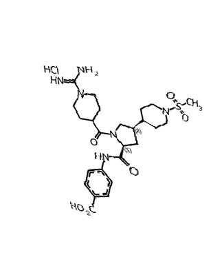 CS(=O)(=O)N1CCC([C@H]2C[C@@H](C(=O)Nc3ccc(C(=O)O)cc3)N(C(=O)C3CCN(C(=N)N)CC3)C2)CC1.Cl